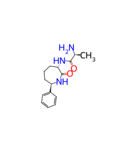 C[C@H](N)C(=O)N[C@H]1CCC[C@H](c2ccccc2)NC1=O